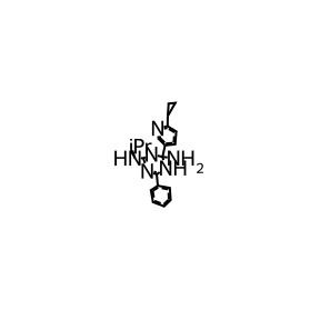 CC(C)NC1=NC(N)(c2ccc(C3CC3)nc2)NC(c2ccccc2)=N1